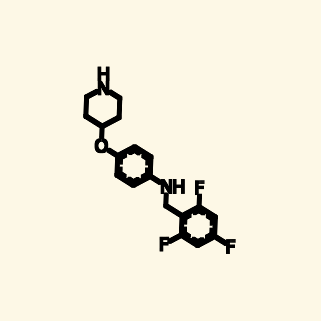 Fc1cc(F)c(CNc2ccc(OC3CCNCC3)cc2)c(F)c1